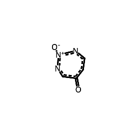 O=c1ccn[n+]([O-])nc1